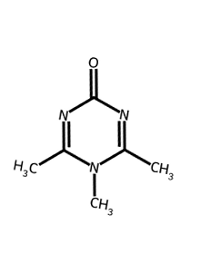 Cc1nc(=O)nc(C)n1C